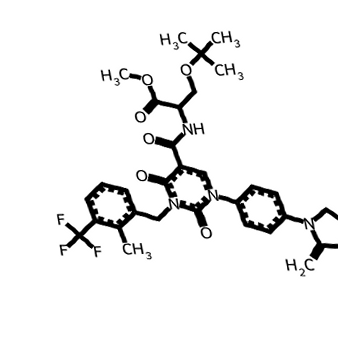 C=C1NCCN1c1ccc(-n2cc(C(=O)NC(COC(C)(C)C)C(=O)OC)c(=O)n(Cc3cccc(C(F)(F)F)c3C)c2=O)cc1